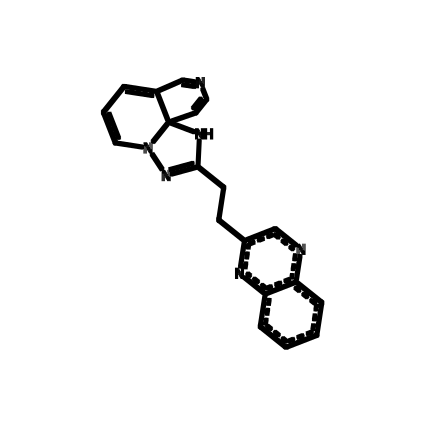 C1=CN2N=C(CCc3cnc4ccccc4n3)NC23C=CN=CC3=C1